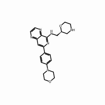 c1cnc2c(NC[C@@H]3CNCCO3)nc(-c3ccc(N4CCOCC4)cc3)cc2n1